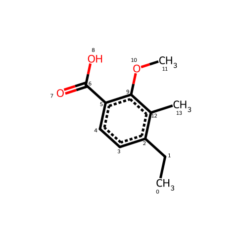 CCc1ccc(C(=O)O)c(OC)c1C